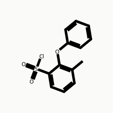 Cc1cccc(S(=O)(=O)Cl)c1Oc1ccccc1